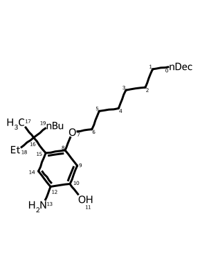 CCCCCCCCCCCCCCCCOc1cc(O)c(N)cc1C(C)(CC)CCCC